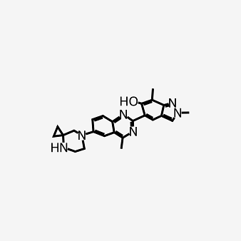 Cc1nc(-c2cc3cn(C)nc3c(C)c2O)nc2ccc(N3CCNC4(CC4)C3)cc12